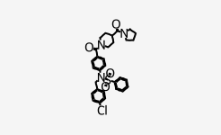 O=C(c1ccc(N(Cc2ccc(Cl)cc2)S(=O)(=O)c2ccccc2)cc1)N1CCC(C(=O)N2CCCC2)CC1